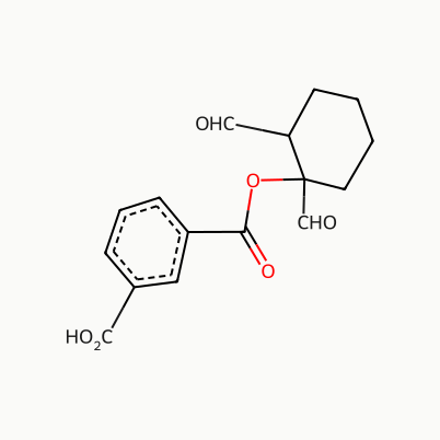 O=CC1CCCCC1(C=O)OC(=O)c1cccc(C(=O)O)c1